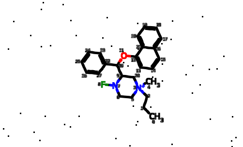 CCC[N+]1(C)CCN(F)C([C@H](Oc2cccc3ccccc23)c2ccccc2)C1